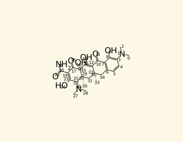 CN(C)c1ccc2c(c1O)C(=O)C1=C(O)[C@]3(O)C(=O)C(C(N)=O)=C(O)[C@@H](N(C)C)[C@]3(C)C[C@]1(C)C2